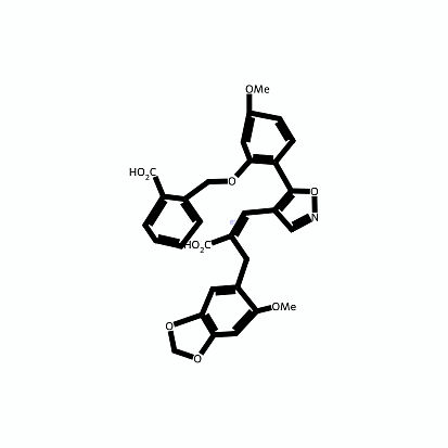 COc1ccc(-c2oncc2/C=C(\Cc2cc3c(cc2OC)OCO3)C(=O)O)c(OCc2ccccc2C(=O)O)c1